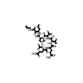 C=CCNC(=O)C(=O)C(CCC)NC(=O)[C@@H]1CSCN1C(=O)C(NC(=O)C(NC(=O)C(CCC(=O)O)NC(=O)C(CCC(=O)O)NC(C)=O)C(C)C)C(C)C